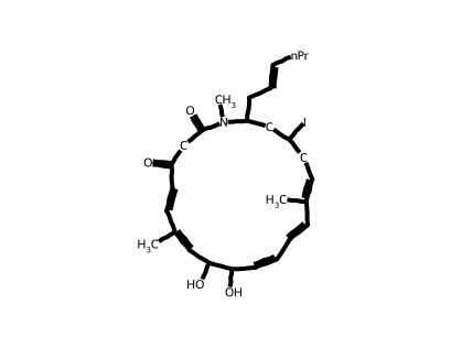 CCC/C=C/CC1CC(I)C/C=C(C)/C=C/C=C\C(O)C(O)/C=C(C)\C=C\C(=O)CC(=O)N1C